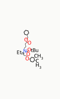 CC[C@@H](CCOc1ccc(C)c(C)c1)N(CCCC(=O)OCc1ccccc1)C(=O)OC(C)(C)C